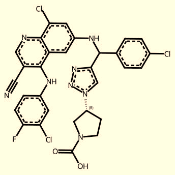 N#Cc1cnc2c(Cl)cc(NC(c3ccc(Cl)cc3)c3cn([C@@H]4CCN(C(=O)O)C4)nn3)cc2c1Nc1ccc(F)c(Cl)c1